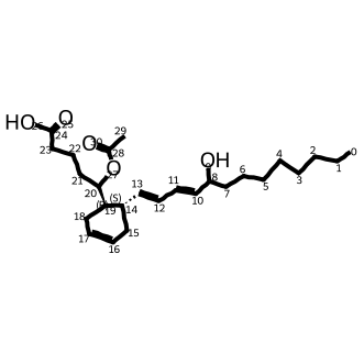 CCCCCCCCC(O)C=CC=C[C@@H]1CC=CC[C@H]1C(CCCC(=O)O)OC(C)=O